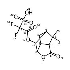 CC1(C)C2CC3C(OC(=O)C31)C2OC(=O)C(F)(F)S(=O)(=O)O